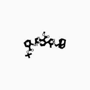 COC(=O)c1c(-c2cnn(CC34CC5CC(CC(C5)C3)C4)c2C)ccn2c(Nc3ccccc3C(=O)OC(C)(C)C)cnc12